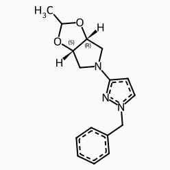 CC1O[C@H]2CN(c3ccn(Cc4ccccc4)n3)C[C@H]2O1